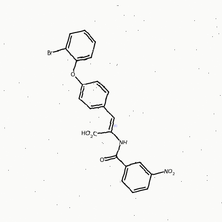 O=C(O)/C(=C\c1ccc(Oc2ccccc2Br)cc1)NC(=O)c1cccc([N+](=O)[O-])c1